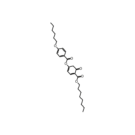 CCCCCCCCOC(=O)C1=CC=C(OC(=O)c2ccc(OCCCCCC)cc2)CC1=O